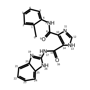 Cc1ccccc1NC(=O)c1nc[nH]c1C(=O)Nc1nc2ccccc2[nH]1